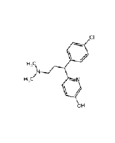 CN(C)CCC(c1ccc(Cl)cc1)c1ccc(O)cn1